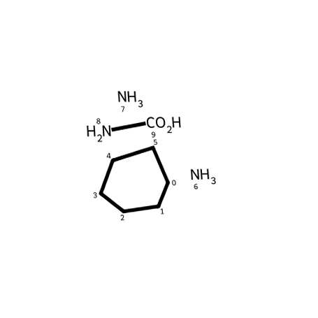 C1CCCCC1.N.N.NC(=O)O